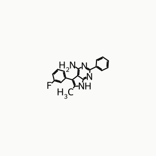 Cc1[nH]c2nc(-c3ccccc3)nc(N)c2c1-c1cccc(F)c1